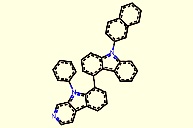 c1ccc(-n2c3cnccc3c3cccc(-c4cccc5c4c4ccccc4n5-c4ccc5ccccc5c4)c32)cc1